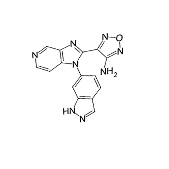 Nc1nonc1-c1nc2cnccc2n1-c1ccc2cn[nH]c2c1